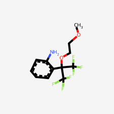 COCCOC(c1ccccc1N)(C(F)(F)F)C(F)(F)F